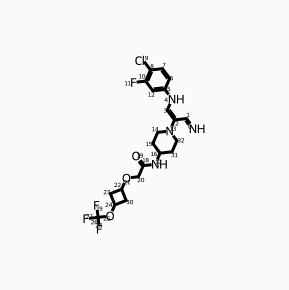 N=C/C(=C\Nc1ccc(Cl)c(F)c1)N1CCC(NC(=O)COC2CC(OC(F)(F)F)C2)CC1